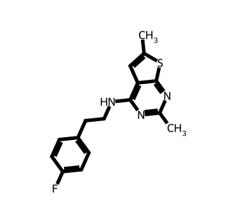 Cc1nc(NCCc2ccc(F)cc2)c2cc(C)sc2n1